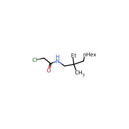 CCCCCCCC(C)(CC)CNC(=O)CCl